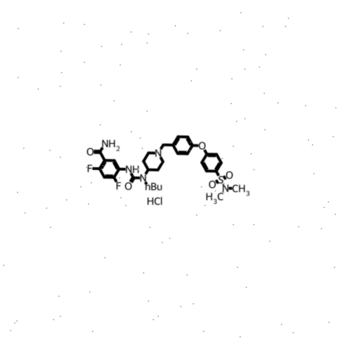 CCCCN(C(=O)Nc1cc(C(N)=O)c(F)cc1F)C1CCN(Cc2ccc(Oc3ccc(S(=O)(=O)N(C)C)cc3)cc2)CC1.Cl